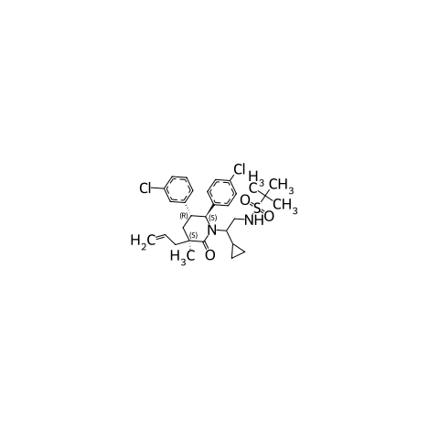 C=CC[C@@]1(C)C[C@H](c2cccc(Cl)c2)[C@@H](c2ccc(Cl)cc2)N(C(CNS(=O)(=O)C(C)(C)C)C2CC2)C1=O